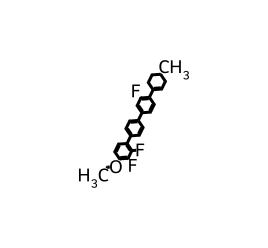 CCOc1ccc(-c2ccc(-c3ccc(C4=CCC(C)CC4)c(F)c3)cc2)c(F)c1F